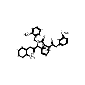 COc1cccc(CC(=O)C2C3C=CC4(O3)C2C(=O)N(Cc2ccccc2C)C4C(=O)CC2CCCCC2C)c1